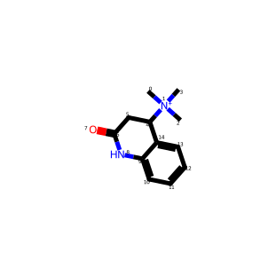 C[N+](C)(C)C1CC(=O)Nc2ccccc21